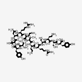 C[C@@H](O)[C@H](N)C(=O)N[C@@H](Cc1ccc(O)cc1)C(=O)N[C@H](C(=O)N[C@@H](CC(N)=O)C(=O)N[C@@H](CCCNC(=N)N)C(=O)N[C@@H](CCN)C(=O)N[C@H](C(=O)N[C@H](CCN)C(=O)N[C@@H](CCCNC(N)=O)C(=O)N[C@@H](CS)C(=O)N[C@@H](CCN)C(=O)N[C@@H](CO)C(=O)N[C@@H](Cc1ccc(O)cc1)C(=O)O)[C@@H](C)O)C(C)(C)S